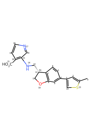 Cc1cc(-c2ccc3c(c2)OC[C@@H]3CNc2cnccc2C(=O)O)cs1